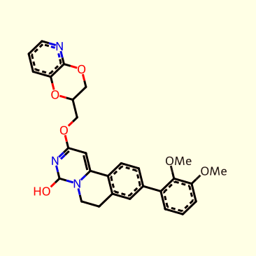 COc1cccc(-c2ccc3c(c2)CCN2C3=CC(OCC3COc4ncccc4O3)=NC2O)c1OC